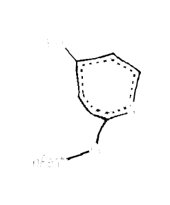 CCCCCOc1cc(O)ccn1